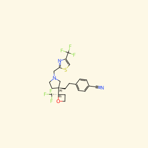 N#Cc1ccc(CC[C@@]2([C@@]3(C(F)(F)F)CCO3)CCN(Cc3nc(C(F)(F)F)cs3)C2)cc1